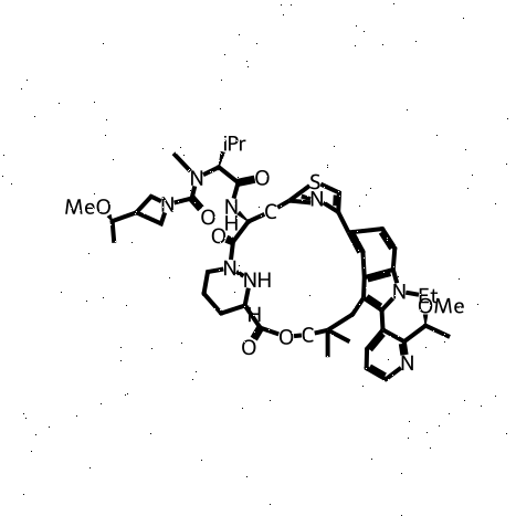 CCn1c(-c2cccnc2[C@H](C)OC)c2c3cc(ccc31)-c1csc(n1)C[C@H](NC(=O)[C@H](C(C)C)N(C)C(=O)N1CC([C@@H](C)OC)C1)C(=O)N1CCC[C@H](N1)C(=O)OCC(C)(C)C2